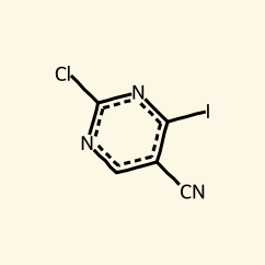 N#Cc1cnc(Cl)nc1I